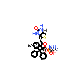 COC(=O)C(OC)(C(CC[C@@H]1SC[C@@H]2NC(=O)N[C@@H]21)OC)C(c1ccccc1)(c1ccccc1)c1ccccc1OP(N)O